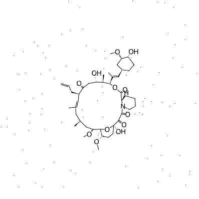 C=CC[C@@H]1/C=C(\C)C[C@H](C)C[C@H](OC)[C@@]2(C)O[C@@](O)(C(=O)C(=O)N3CCCC[C@H]3C(=O)O[C@H](/C(C)=C/[C@@H]3CC[C@@H](O)[C@H](OC)C3)[C@H](C)[C@@H](O)CC1=O)[C@H](C)C[C@@H]2OC